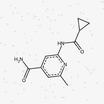 Cc1cc(C(N)=O)cc(NC(=O)C2CC2)n1